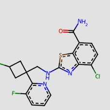 NC(=O)c1ccc(Cl)c2nc(NCC3(c4ncccc4F)CC(F)C3)sc12